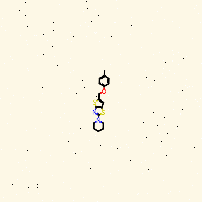 Cc1ccc(OCc2cc3sc(N4CCCCC4)nc3s2)cc1